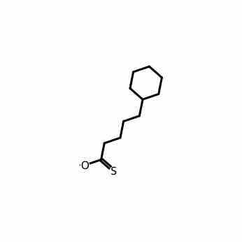 [O]C(=S)CCCCC1CCCCC1